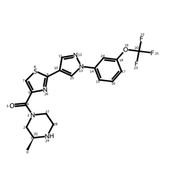 C[C@H]1CN(C(=O)c2csc(-c3cnn(-c4cccc(OC(F)(F)F)c4)c3)n2)CCN1